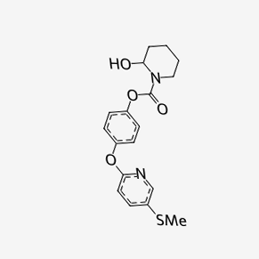 CSc1ccc(Oc2ccc(OC(=O)N3CCCCC3O)cc2)nc1